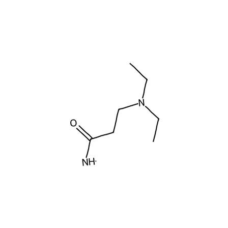 CCN(CC)CCC([NH])=O